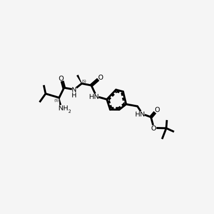 CC(C)[C@H](N)C(=O)N[C@@H](C)C(=O)Nc1ccc(CNC(=O)OC(C)(C)C)cc1